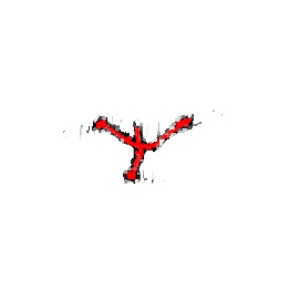 CC(=O)N[C@H]1[C@H]2OC[C@](COCCOCCOCCOCCn3cc(COCC(COCc4cn(CCOCCOCCOCCOC[C@@]56CO[C@@H](O5)[C@H](NC(C)=O)[C@@H](O)[C@H]6O)nn4)(COCc4cn(CCOCCOCCOCCOC[C@@]56CO[C@@H](O5)[C@H](NC(C)=O)[C@@H](O)[C@H]6O)nn4)NC(=O)CCCCCNC(=O)O)nn3)(O2)[C@H](O)[C@@H]1O